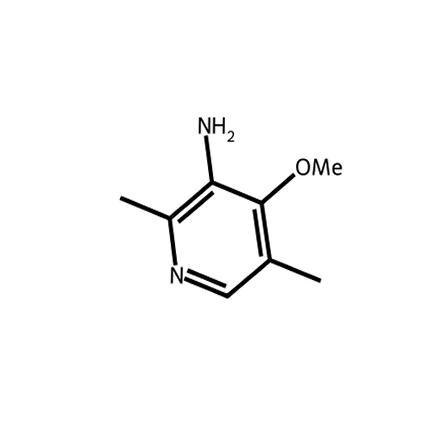 COc1c(C)cnc(C)c1N